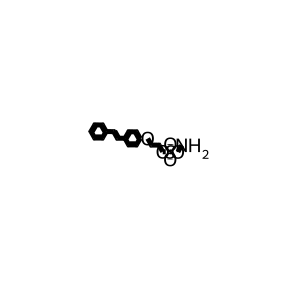 NOS(=O)(=O)OCCOc1ccc(C=Cc2ccccc2)cc1